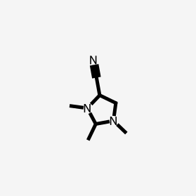 CC1N(C)CC(C#N)N1C